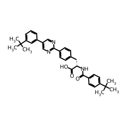 CC(C)(C)c1ccc(C(=O)N[C@@H](Cc2ccc(-c3ncc(-c4cccc(C(C)(C)C)c4)cn3)cc2)C(=O)O)cc1